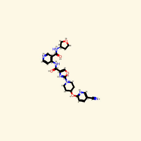 N#Cc1ccc(OC2CCN(c3nc(C(=O)Nc4ccncc4C(=O)N[C@@H]4CCOC4)co3)CC2)nc1